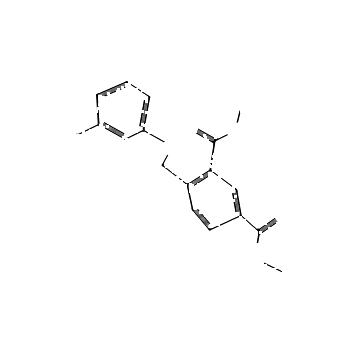 COC(=O)c1ccc(COc2cccc(Cl)c2)c(C(=O)OC)c1